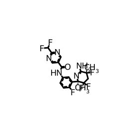 C[C@@]1(F)CC(F)(F)[C@@](C)(c2cc(NC(=O)c3cnc(C(F)F)nc3)ccc2F)N=C1N